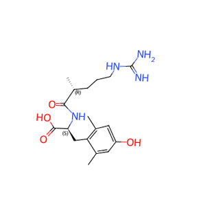 Cc1cc(O)cc(C)c1C[C@H](NC(=O)[C@H](C)CCCNC(=N)N)C(=O)O